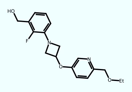 CCOCc1ccc(OC2CN(c3cccc(CO)c3F)C2)cn1